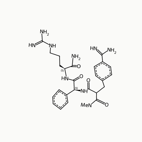 CNC(=O)C(Cc1ccc(C(=N)N)cc1)C(=O)N[C@H](C(=O)N[C@@H](CCCNC(=N)N)C(N)=O)c1ccccc1